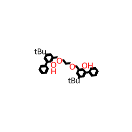 CC(C)(C)c1cc(COCCCOCc2cc(C(C)(C)C)cc(-c3ccccc3)c2O)c(O)c(-c2ccccc2)c1